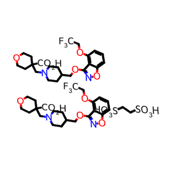 O=C(O)C1(CN2CCC(COc3noc4cccc(OCC(F)(F)F)c34)CC2)CCOCC1.O=C(O)C1(CN2CCC(COc3noc4cccc(OCC(F)(F)F)c34)CC2)CCOCC1.O=S(=O)(O)CCS(=O)(=O)O